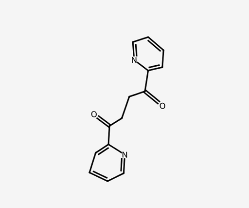 O=C(CCC(=O)c1ccccn1)c1ccccn1